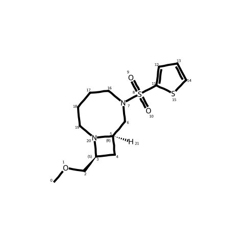 COC[C@@H]1C[C@@H]2CN(S(=O)(=O)c3cccs3)CCCCN12